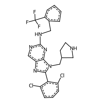 FC(F)(F)c1ccccc1CNc1ncc2nc(-c3c(Cl)cccc3Cl)n(CC3CCNC3)c2n1